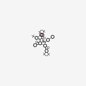 CC(C)(C)c1ccc(N2c3c(oc4cc5c(cc34)C(C)(C)CCC5(C)C)B3c4c(cc5c(oc6ccccc65)c42)-c2cc4c(cc2N3c2ccc(-c3ccccc3)cc2)oc2cc3c(cc24)C(C)(C)CCC3(C)C)c(-c2ccccc2)c1